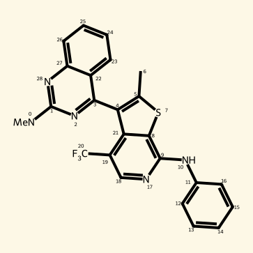 CNc1nc(-c2c(C)sc3c(Nc4ccccc4)ncc(C(F)(F)F)c23)c2ccccc2n1